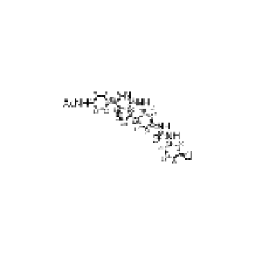 CC(=O)Nc1ccc(-c2cnc(N)c3c(-c4ccc(NC(=O)Nc5cccc(Cl)c5)cc4)csc23)cc1